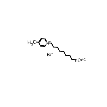 CCCCCCCCCCCCCCCCCC[n+]1ccc(C)cc1.[Br-]